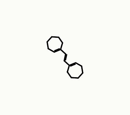 C(=CC1=CCCCCC1)C1=CCCCCC1